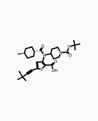 CC(C)(C)C#Cc1cc(N(C(=O)[C@H]2CC[C@H](C)CC2)C2CCN(C(=O)OC(C)(C)C)CC2)c(C(=O)O)s1